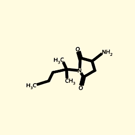 CCCC(C)(C)N1C(=O)CC(N)C1=O